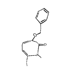 Cn1c(I)ccc(OCc2ccccc2)c1=O